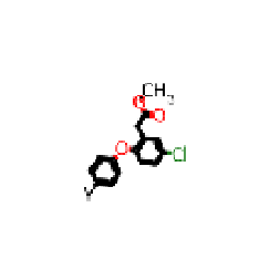 COC(=O)Cc1cc(Cl)ccc1Oc1cc[c]([Y])cc1